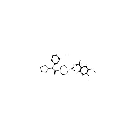 COc1cc2nc(N3CCN(C(=O)C(c4ccccc4)C4CCCC4)CC3)nc(N)c2cc1OC.Cl